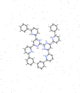 c1ccc(-c2cccc(-c3cc(-c4cccc(-c5ccccc5)n4)nc(-c4nc(-c5cccc(-c6ccccc6)n5)cc(-c5cccc(-c6ccccc6)n5)n4)n3)n2)cc1